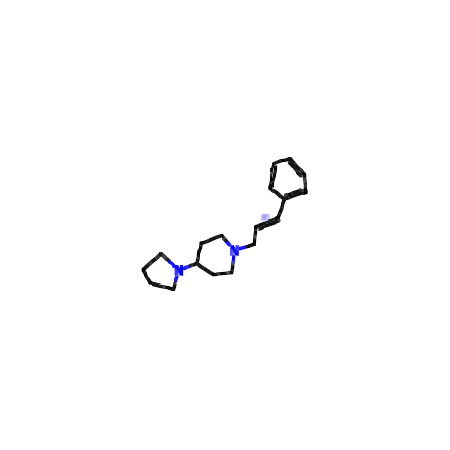 C(=C\c1ccccc1)/CN1CCC(N2CCCC2)CC1